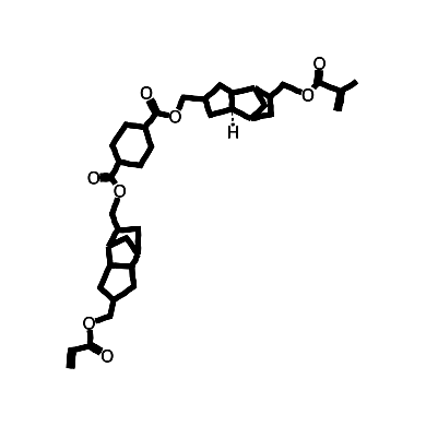 C=CC(=O)OCC1CC2C3CC(COC(=O)C4CCC(C(=O)OCC5CC6C7CC(CC7COC(=O)C(=C)C)[C@H]6C5)CC4)C(C3)C2C1